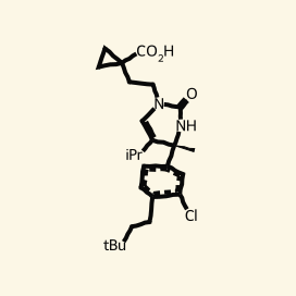 CC(C)C1=CN(CCC2(C(=O)O)CC2)C(=O)N[C@]1(C)c1ccc(CCC(C)(C)C)c(Cl)c1